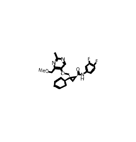 COCc1nc(C)ncc1OC[C@@]1(C2C=CC=CC2)C[C@H]1C(=O)Nc1ccc(F)c(F)c1